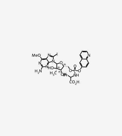 COc1nc(N)nc2c1nc(I)n2C1O[C@H](COP(=O)(NC(C(=O)O)C(C)C)Oc2ccc3ncccc3c2)[C@@H](O)[C@@]1(C)O